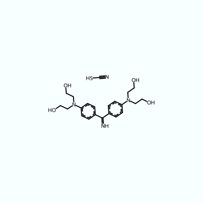 N#CS.N=C(c1ccc(N(CCO)CCO)cc1)c1ccc(N(CCO)CCO)cc1